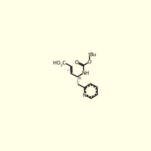 CC(C)(C)OC(=O)N[C@@H](/C=C/C(=O)O)Cc1ccccn1